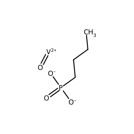 CCCCP(=O)([O-])[O-].[O]=[V+2]